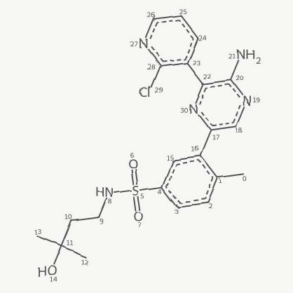 Cc1ccc(S(=O)(=O)NCCC(C)(C)O)cc1-c1cnc(N)c(-c2cccnc2Cl)n1